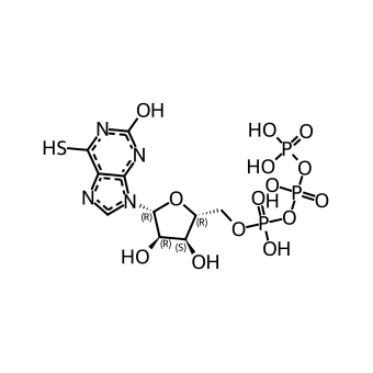 O=P(O)(O)OP(=O)(O)OP(=O)(O)OC[C@H]1O[C@@H](n2cnc3c(S)nc(O)nc32)[C@H](O)[C@@H]1O